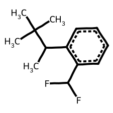 CC(c1ccccc1C(F)F)C(C)(C)C